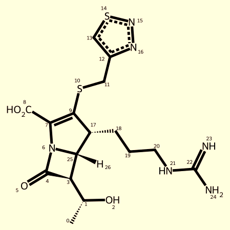 C[C@@H](O)[C@H]1C(=O)N2C(C(=O)O)=C(SCc3csnn3)[C@H](CCCNC(=N)N)[C@H]12